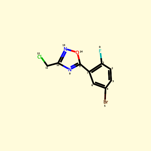 Fc1ccc(Br)cc1-c1nc(CCl)no1